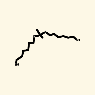 CC(C)(OCCCCCCS)SCCCCCCS